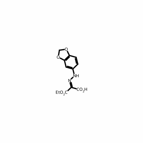 CCOC(=O)C(=NNc1ccc2c(c1)OCO2)C(=O)O